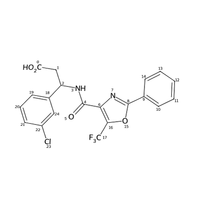 O=C(O)CC(NC(=O)c1nc(-c2ccccc2)oc1C(F)(F)F)c1cccc(Cl)c1